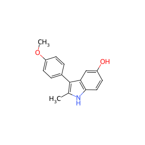 COc1ccc(-c2c(C)[nH]c3ccc(O)cc23)cc1